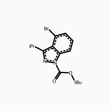 CC(C)c1nn(C(=O)OC(C)(C)C)c2cccc(Br)c12